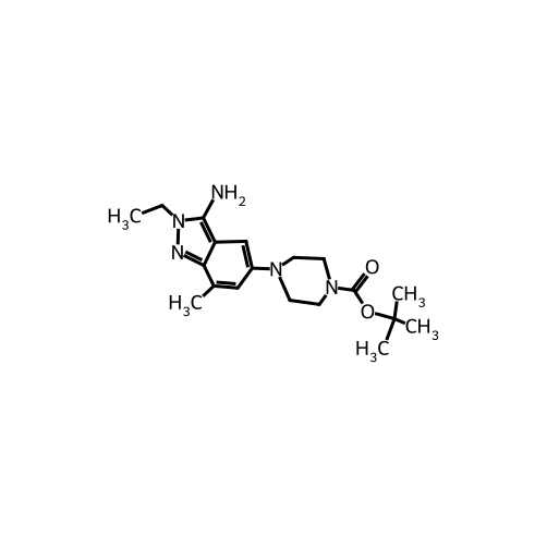 CCn1nc2c(C)cc(N3CCN(C(=O)OC(C)(C)C)CC3)cc2c1N